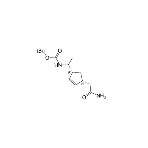 CC(NC(=O)OC(C)(C)C)[C@H]1C=C[C@@H](CC(N)=O)C1